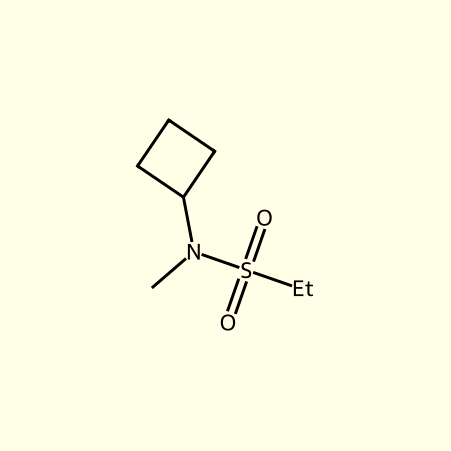 CCS(=O)(=O)N(C)C1CCC1